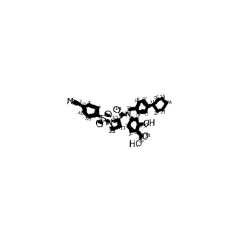 N#Cc1ccc(S(=O)(=O)N2CC[C@@H]2C(=O)N(Cc2ccc(C3CCCCC3)cc2)c2ccc(C(=O)O)c(O)c2)cc1